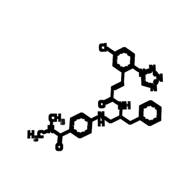 CN(C)C(=O)c1ccc(NCC(Cc2ccccc2)NC(=O)/C=C/c2cc(Cl)ccc2-n2cnnn2)cc1